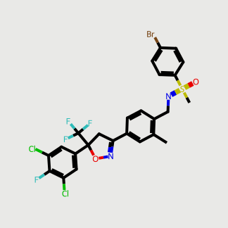 Cc1cc(C2=NOC(c3cc(Cl)c(F)c(Cl)c3)(C(F)(F)F)C2)ccc1CN=S(C)(=O)c1ccc(Br)cc1